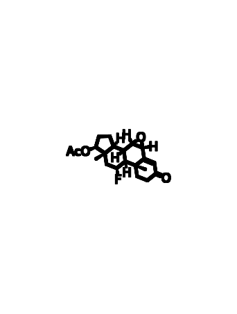 CC(=O)O[C@H]1CC[C@H]2[C@@H]3[C@@H]4O[C@@H]4C4=CC(=O)CC[C@]4(C)[C@H]3[C@@H](F)C[C@]12C